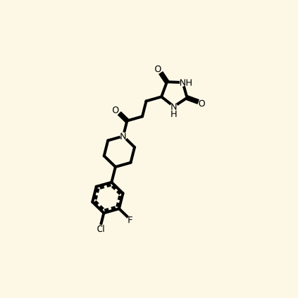 O=C1NC(=O)C(CCC(=O)N2CCC(c3ccc(Cl)c(F)c3)CC2)N1